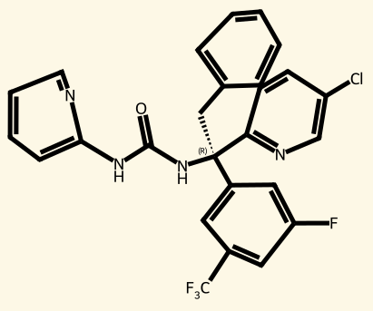 O=C(Nc1ccccn1)N[C@](Cc1ccccc1)(c1cc(F)cc(C(F)(F)F)c1)c1ccc(Cl)cn1